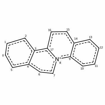 c1ccc2c(c1)cc[n+]1c3ccccc3ccc21